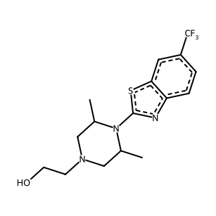 CC1CN(CCO)CC(C)N1c1nc2ccc(C(F)(F)F)cc2s1